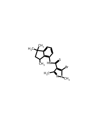 Cc1nn(C)c(Br)c1C(=S)Nc1cccc2c1C(C)CC2(C)C